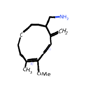 C=C1/C=C\C(OC)=C(\C)CCCCC1CN